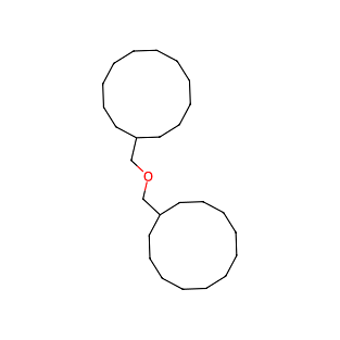 C1CCCCCC(COCC2CCCCCCCCCCC2)CCCCC1